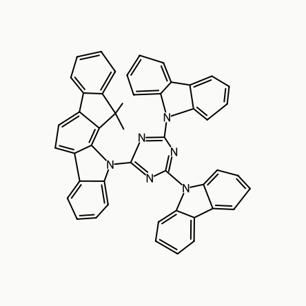 CC1(C)c2ccccc2-c2ccc3c4ccccc4n(-c4nc(-n5c6ccccc6c6ccccc65)nc(-n5c6ccccc6c6ccccc65)n4)c3c21